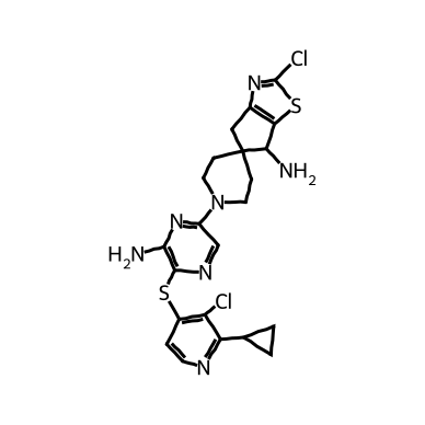 Nc1nc(N2CCC3(CC2)Cc2nc(Cl)sc2C3N)cnc1Sc1ccnc(C2CC2)c1Cl